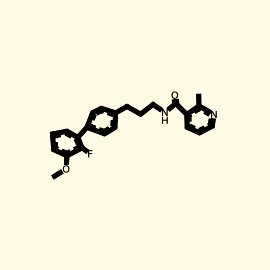 COc1cccc(-c2ccc(CCCNC(=O)c3cccnc3C)cc2)c1F